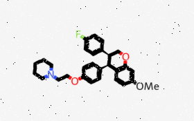 COc1ccc2c(c1)OC[C@H](c1ccc(F)cc1)[C@@H]2c1ccc(OCCN2CCCCC2)cc1